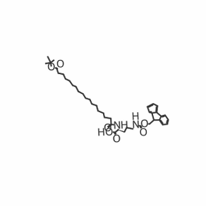 CC(C)(C)OC(=O)CCCCCCCCCCCCCCCCC(=O)N[C@@H](CCCNC(=O)OCC1c2ccccc2-c2ccccc21)C(=O)O